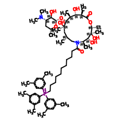 CC[C@H]1OC(=O)[C@H](C)[C@@H](O)[C@H](C)[C@@H](O[C@@H]2O[C@H](C)C[C@H](N(C)C)[C@H]2O)[C@](C)(O)C[C@@H](C)CN(C(=O)CCCCCCCCCC[PH](c2cc(C)cc(C)c2)(c2cc(C)cc(C)c2)c2cc(C)cc(C)c2)[C@H](C)[C@@H](O)[C@]1(C)O